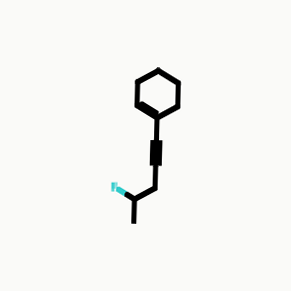 CC(F)CC#CC1=CC[CH]CC1